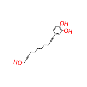 OCC#CCCCCCCC#Cc1ccc(O)c(O)c1